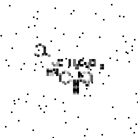 CN(C)c1ccnc(N[C@H]2CC[C@@H](NC(=O)CCC3CCCCC3)CC2)n1